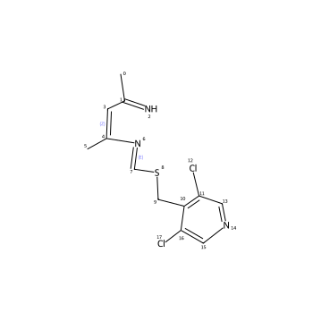 CC(=N)/C=C(C)\N=C\SCc1c(Cl)cncc1Cl